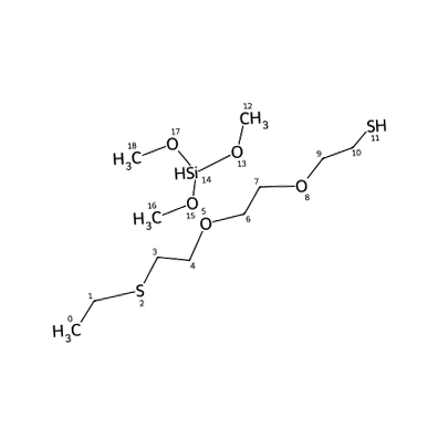 CCSCCOCCOCCS.CO[SiH](OC)OC